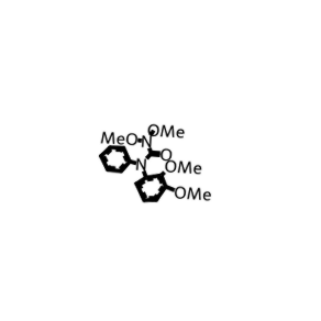 COc1cccc(N(C(=O)N(OC)OC)c2ccccc2)c1OC